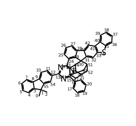 CC1(C)c2ccccc2-c2ccc(-c3nc(-c4ccccc4)nc(-c4cccc5c4C4(c6cc7sc8ccccc8c7cc6-5)C5CC6CC(C5)CC4C6)n3)cc21